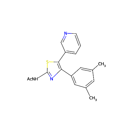 CC(=O)Nc1nc(-c2cc(C)cc(C)c2)c(-c2cccnc2)s1